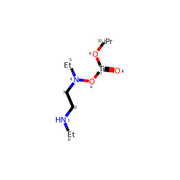 CCNCCN(CC)[O][Ti](=[O])[O]C(C)C